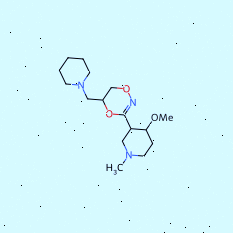 COC1CCN(C)CC1C1=NOCC(CN2CCCCC2)O1